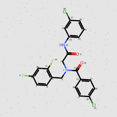 O=C(CN(Cc1ccc(F)cc1F)C(=O)c1ccc(Cl)cc1)Nc1cccc(Cl)c1